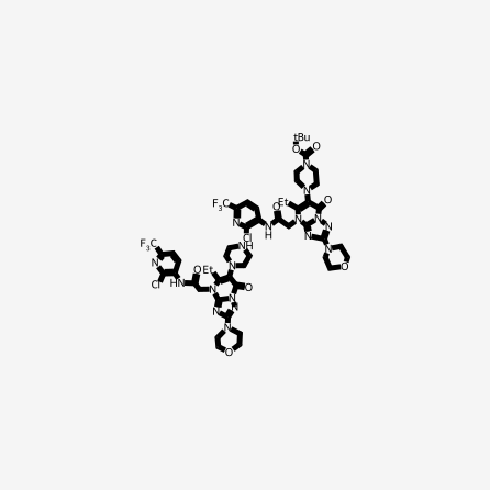 CCc1c(N2CCN(C(=O)OC(C)(C)C)CC2)c(=O)n2nc(N3CCOCC3)nc2n1CC(=O)Nc1ccc(C(F)(F)F)nc1Cl.CCc1c(N2CCNCC2)c(=O)n2nc(N3CCOCC3)nc2n1CC(=O)Nc1ccc(C(F)(F)F)nc1Cl